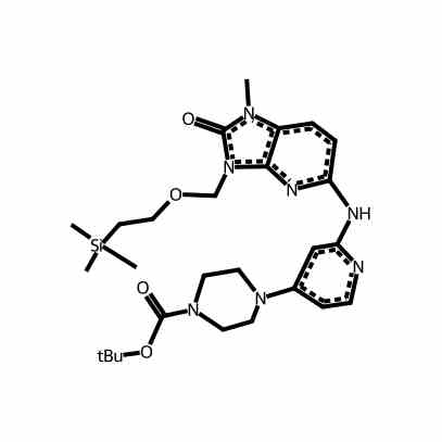 Cn1c(=O)n(COCC[Si](C)(C)C)c2nc(Nc3cc(N4CCN(C(=O)OC(C)(C)C)CC4)ccn3)ccc21